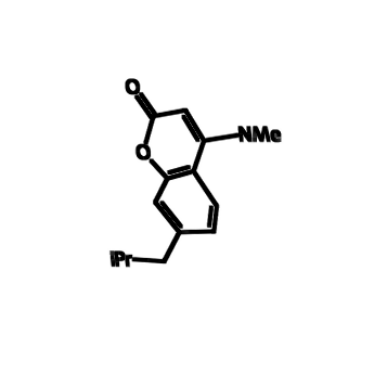 CNc1cc(=O)oc2cc(CC(C)C)ccc12